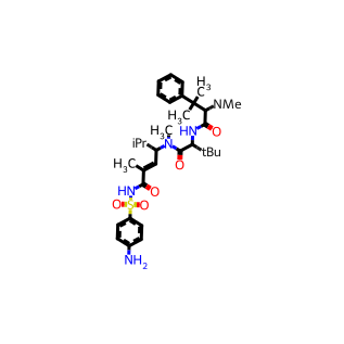 CNC(C(=O)NC(C(=O)N(C)C(/C=C(\C)C(=O)NS(=O)(=O)c1ccc(N)cc1)C(C)C)C(C)(C)C)C(C)(C)c1ccccc1